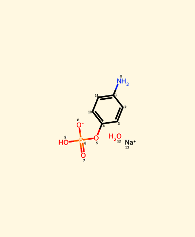 Nc1ccc(OP(=O)([O-])O)cc1.O.[Na+]